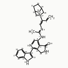 C=C/C(=C\N=C(/C)Nc1cnc(-c2c[nH]c3ccccc23)c2c1C(=O)NC2)N1CC2CCC(C1)O2